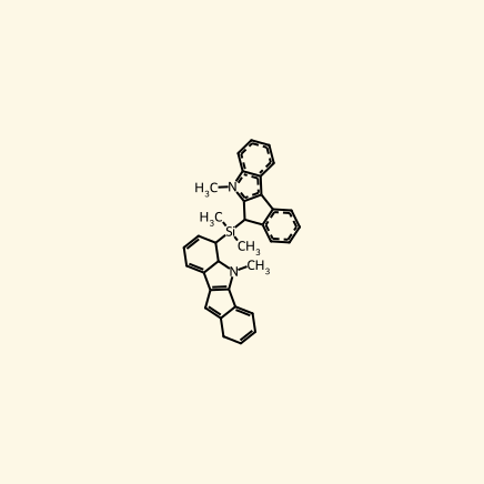 CN1C2=C(C=C3CC=CC=C32)C2=CC=CC([Si](C)(C)C3c4ccccc4-c4c3n(C)c3ccccc43)C21